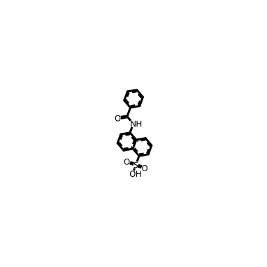 O=C(Nc1cccc2c(S(=O)(=O)O)cccc12)c1ccccc1